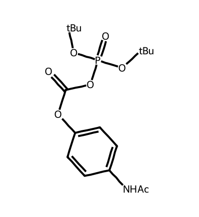 CC(=O)Nc1ccc(OC(=O)OP(=O)(OC(C)(C)C)OC(C)(C)C)cc1